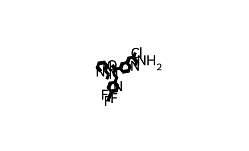 CC(c1ncccn1)N(Cc1ccc(C(F)(F)F)cn1)C(=O)c1ccc2nc(N)c(Cl)cc2c1